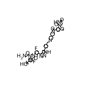 COc1ccc(C(=O)N2CCC3(CCN(CCc4ccc(-c5cc6c(-c7cc(F)cc(N(CNC(=O)CN)C(=O)c8ccc(C(C)(C)O)cc8F)c7C)ncnc6[nH]5)cc4)CC3)CC2)cc1N1CCC(=O)NC1=O